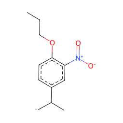 [CH2]C(C)c1ccc(OCCC)c([N+](=O)[O-])c1